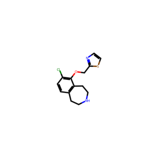 Clc1ccc2c(c1OCc1nccs1)CCNCC2